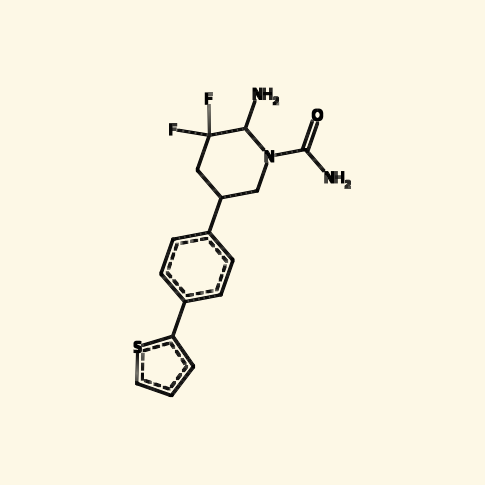 NC(=O)N1CC(c2ccc(-c3cccs3)cc2)CC(F)(F)C1N